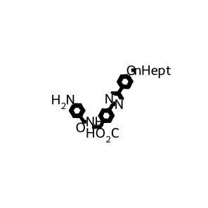 CCCCCCCOc1ccc(-c2cnc(-c3ccc(C[C@H](NC(=O)c4ccc(N)cc4)C(=O)O)cc3)nc2)cc1